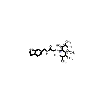 CO[C@H](/C(=N/OCC(=O)NCc1ccc2cc[nH]c2c1)[C@@H](O)[C@@H](C)O)C(C)C(C)C